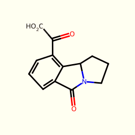 O=C(O)C(=O)c1cccc2c1C1CCCN1C2=O